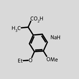 CCOc1cc(C(C)C(=O)O)ccc1OC.[NaH]